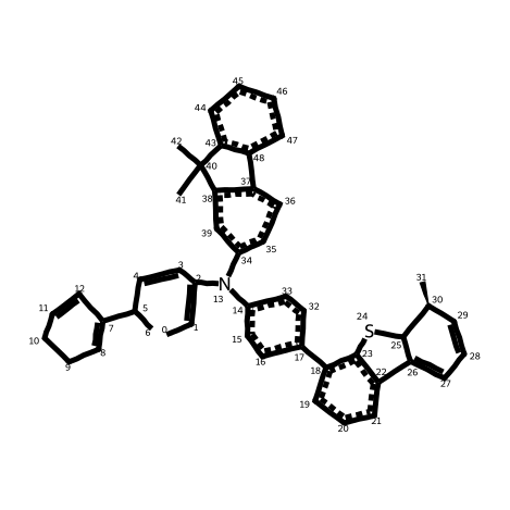 C/C=C(\C=C/C(C)C1=CCCC=C1)N(c1ccc(-c2cccc3c2SC2C3=CC=C[C@@H]2C)cc1)c1ccc2c(c1)C(C)(C)c1ccccc1-2